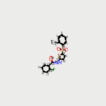 CCc1ccccc1S(=O)(=O)c1ccc(NC(=O)c2ccccc2F)s1